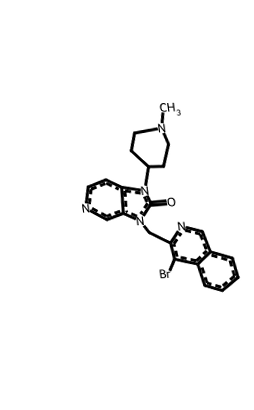 CN1CCC(n2c(=O)n(Cc3ncc4ccccc4c3Br)c3cnccc32)CC1